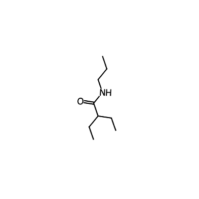 CCCNC(=O)C(CC)CC